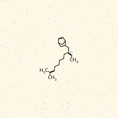 C/C=C(\CCCCCC=C(C)C)CC1CC2C=CC1C2